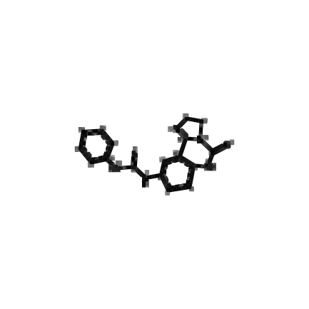 O=C1Nc2ccc(NC(=S)Nc3ccccc3)cc2C2=NCCN12